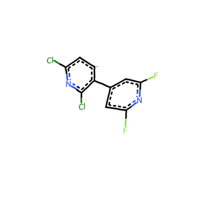 Fc1cc(-c2[c]cc(Cl)nc2Cl)cc(F)n1